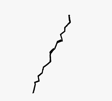 CCCCCC=CC=CCCCCCCC